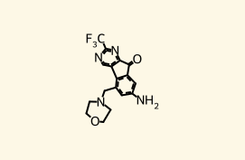 Nc1cc(CN2CCOCC2)c2c(c1)C(=O)c1nc(C(F)(F)F)ncc1-2